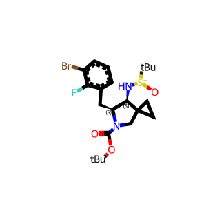 CC(C)(C)OC(=O)N1CC2(CC2)[C@H](N[S+]([O-])C(C)(C)C)[C@@H]1Cc1cccc(Br)c1F